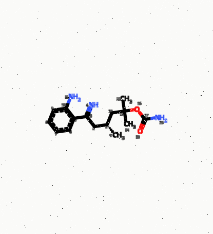 C[C@H](CC(=N)c1ccccc1N)CC(C)(C)OC(N)=O